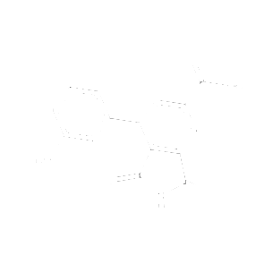 O=C(O)c1cc2c(c(-c3cccc(O)c3)c1)C(=O)NC2=O